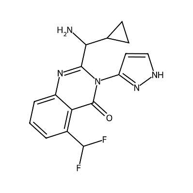 NC(c1nc2cccc(C(F)F)c2c(=O)n1-c1cc[nH]n1)C1CC1